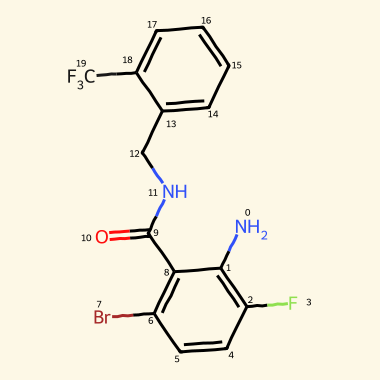 Nc1c(F)ccc(Br)c1C(=O)NCc1ccccc1C(F)(F)F